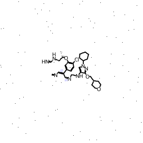 C=N/C=C(\C=N/CNc1cn(C2CCCCC2)nc1OCC1CCOCC1)c1ccc(Cl)c(O[C@@H](C)CNC=N)c1